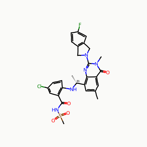 Cc1cc([C@@H](C)Nc2ccc(Cl)cc2C(=O)NS(C)(=O)=O)c2nc(N3Cc4ccc(F)cc4C3)n(C)c(=O)c2c1